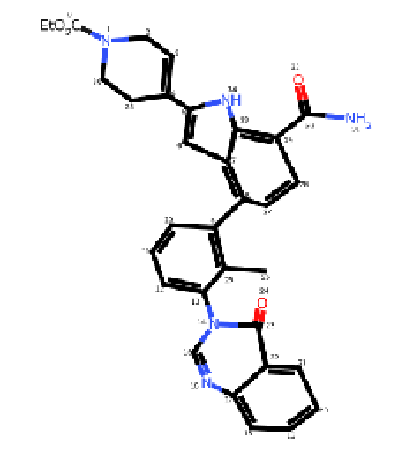 CCOC(=O)N1CC=C(c2cc3c(-c4cccc(-n5cnc6ccccc6c5=O)c4C)ccc(C(N)=O)c3[nH]2)CC1